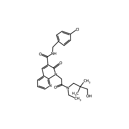 CCN(CC(C)(C)CO)C(=O)Cn1c(=O)c(C(=O)NCc2ccc(Cl)cc2)cc2cccnc21